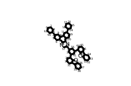 c1ccc(-c2ccc3c(c2)c2cc(-c4ccccc4)ccc2c2nc(-c4cc(-c5cccc6c5oc5ccccc56)cc(-c5cccc6c5oc5ccccc56)c4)cnc32)cc1